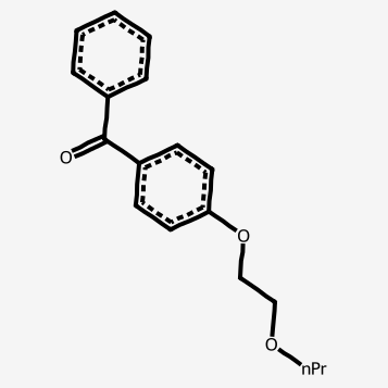 CCCOCCOc1ccc(C(=O)c2ccccc2)cc1